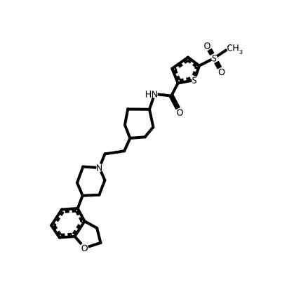 CS(=O)(=O)c1ccc(C(=O)NC2CCC(CCN3CCC(c4cccc5c4CCO5)CC3)CC2)s1